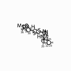 COc1cc(-c2cc3sc(-c4nnn(C)c4NC(=O)O[C@H](C)c4ccccc4)cc3s2)ccc1C1(C(=O)O)CC1